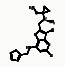 COC1([C@H](N)Cc2oc3c(NCc4cccs4)cc(Cl)nc3c2Cl)CC1